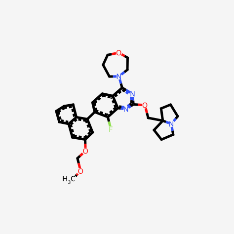 COCOc1cc(-c2ccc3c(N4CCCOCC4)nc(OCC45CCCN4CCC5)nc3c2F)c2ccccc2c1